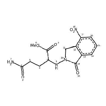 COC(=O)C(CCC(N)=O)NN1Cc2c(cccc2[N+](=O)[O-])C1=O